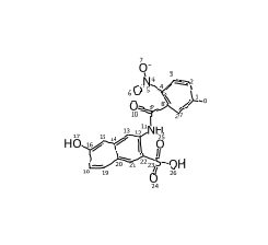 Cc1ccc([N+](=O)[O-])c(C(=O)Nc2cc3cc(O)ccc3cc2S(=O)(=O)O)c1